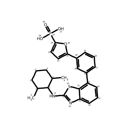 CC1CCCC(C)C1Nc1nc2cccc(-c3cccc(-c4ccc(P(=O)(O)O)o4)c3)c2s1